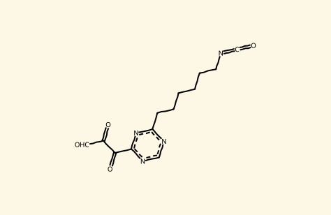 O=C=NCCCCCCc1ncnc(C(=O)C(=O)C=O)n1